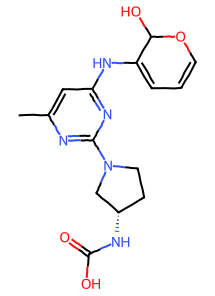 Cc1cc(NC2=CC=COC2O)nc(N2CC[C@H](NC(=O)O)C2)n1